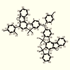 Cc1ccc(N(c2ccc3c(c2)C(C)(C)c2cc(-c4ccc(C)cc4C)c4oc5ccccc5c4c2-3)c2ccc3c(c2)C(C)(C)c2c4c(c5oc6ccccc6c5c2-3)-c2ccccc2C4(C)C)cc1